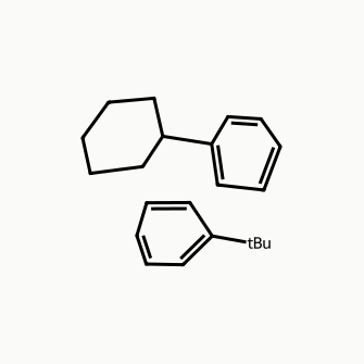 CC(C)(C)c1ccccc1.c1ccc(C2CCCCC2)cc1